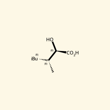 CC[C@@H](C)[C@@H](C)[C@@H](O)C(=O)O